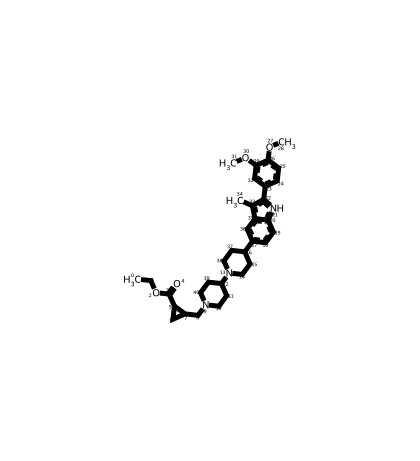 CCOC(=O)C1CC1CN1CCC(N2CCC(c3ccc4[nH]c(-c5ccc(OC)c(OC)c5)c(C)c4c3)CC2)CC1